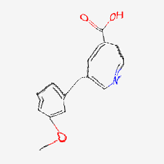 COc1cccc(-c2cncc(C(=O)O)c2)c1